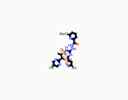 CCc1cc(C/N=C(/NNC(=O)c2cccc(OC)n2)NS(=O)(=O)C(C)C(OC)c2ncc(Cl)cn2)on1